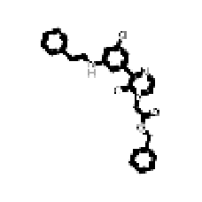 O=C(Cn1ccnc(-c2cc(Cl)cc(NCCc3ccccc3)c2)c1=O)OCc1ccccc1